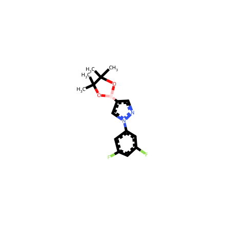 CC1(C)OB(c2cnn(-c3cc(F)cc(F)c3)c2)OC1(C)C